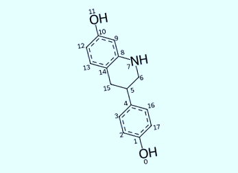 Oc1ccc(C2CNc3cc(O)ccc3C2)cc1